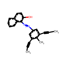 CC#Cc1cc(/N=N/c2c(O)ccc3ccccc23)cc(C#CC)c1C